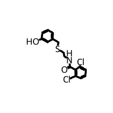 O=C(NCCSCc1cccc(O)c1)c1c(Cl)cccc1Cl